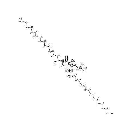 CCCCCCCCCCCCCCCCCC(=O)NCC(CNC(=O)CCCCCCCCCCCCCCCCC)P(=O)(O)OCC[N+](C)(C)C